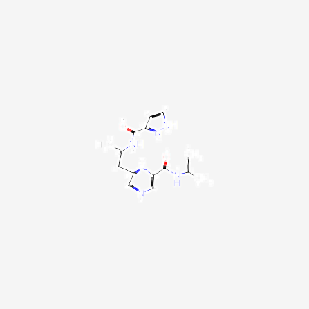 CC(C)NC(=O)c1cncc(CC(C)NC(=O)c2cc[nH]n2)n1